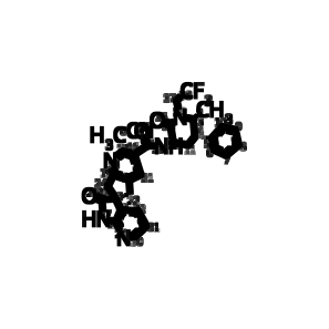 CC#N.C[C@@H]1[C@H](c2ccccc2)C[C@H](NC(=O)c2cnc3c(c2)C[C@@]2(C3)C(=O)Nc3ncccc32)C(=O)N1CC(F)(F)F